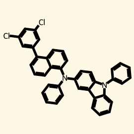 Clc1cc(Cl)cc(-c2cccc3c(N(c4ccccc4)c4ccc5c(c4)c4ccccc4n5-c4ccccc4)cccc23)c1